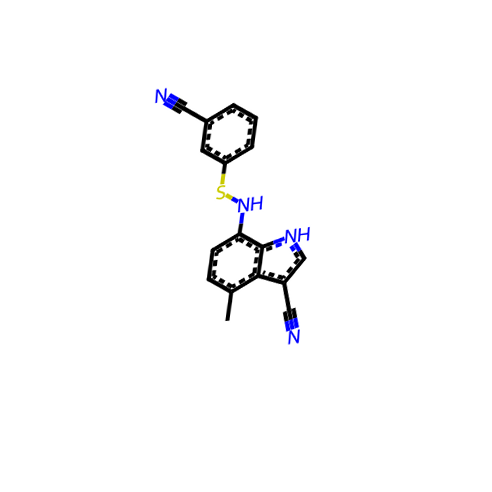 Cc1ccc(NSc2cccc(C#N)c2)c2[nH]cc(C#N)c12